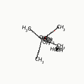 CCCCCCCCCCCCCCCCCC(CC(O)CCCCCCCCCCCCC)SC(CCCCCCCCCCCCCCCCC)(CC(O)CCCCCCCCCCCCC)C(O)C(C)O.OB(O)O